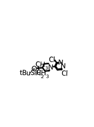 CC(C)(C)[SiH2]OC(C)(C)C1CCN(c2cc(Cl)nnc2Cl)CC1